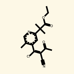 CCOC(=O)C(C)(C)c1cc(/C(Cl)=C(/C#N)C(C)=O)c(C)cn1